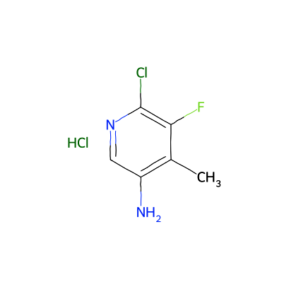 Cc1c(N)cnc(Cl)c1F.Cl